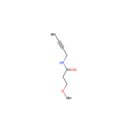 CC(C)(C)C#CCNC(=O)CCOC(C)(C)C